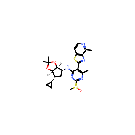 Cc1nc([S+](C)[O-])nc(N[C@@H]2C[C@H](C3CC3)[C@H]3OC(C)(C)O[C@H]32)c1-c1nc2c(C)nccc2s1